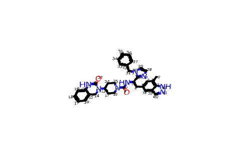 Cc1cc(CC(NC(=O)N2CCC(N3Cc4ccccc4NC3=O)CC2)c2nccn2Cc2ccccc2)cc2cn[nH]c12